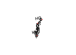 O=C(NS(=O)(=O)CCC(F)(F)F)c1ccc(N2CCN(Cc3cc(-c4cccc(O)c4)cs3)CC2)nn1